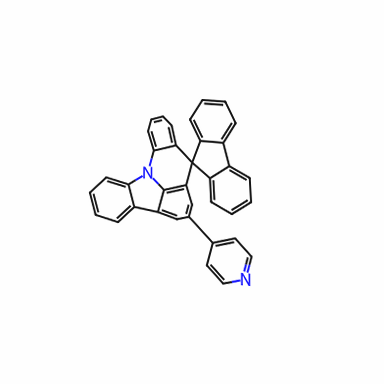 c1ccc2c(c1)-c1ccccc1C21c2ccccc2-n2c3ccccc3c3cc(-c4ccncc4)cc1c32